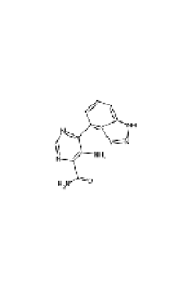 NC(=O)c1ncnc(-c2cccc3[nH]ncc23)c1N